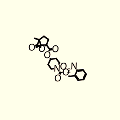 CC12CCC(C(=O)OC3CCN(C(=O)OCc4ccccc4[N+](=O)[O-])CC3)(OC1=O)C2(C)C